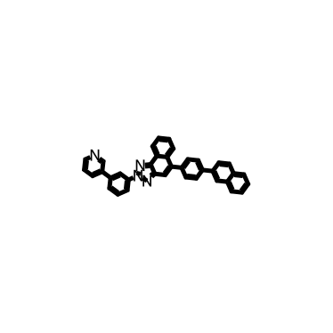 c1cncc(-c2cccc(-n3nc4cc(-c5ccc(-c6ccc7ccccc7c6)cc5)c5ccccc5c4n3)c2)c1